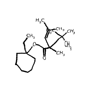 CCC1(OC(=O)C(C)(C=C(C)C)C(C)(C)C)CCCCC1